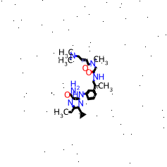 CCc1nc(C(N)=O)c(Nc2cccc([C@@H](C)CNC(=O)CN(C)C(=O)/C=C/CN(C)C)c2)nc1C1CC1